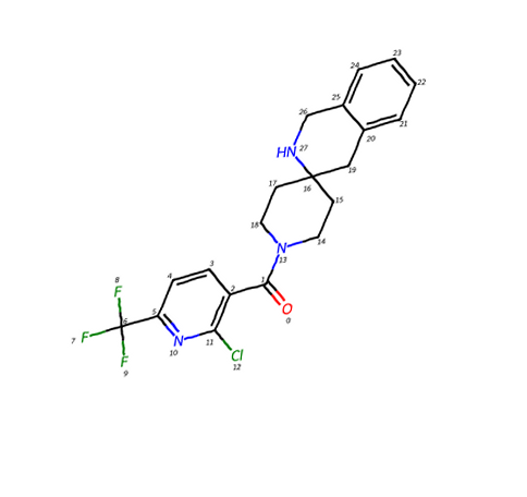 O=C(c1ccc(C(F)(F)F)nc1Cl)N1CCC2(CC1)Cc1ccccc1CN2